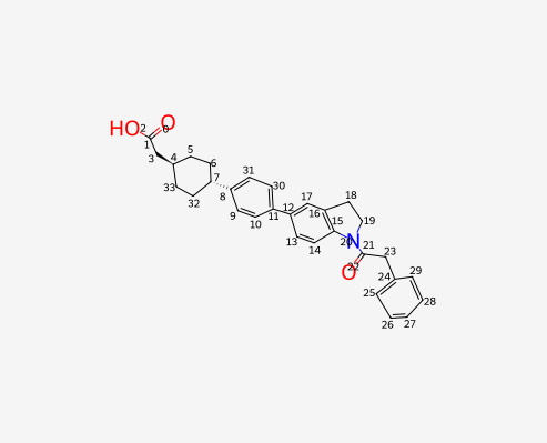 O=C(O)C[C@H]1CC[C@H](c2ccc(-c3ccc4c(c3)CCN4C(=O)Cc3ccccc3)cc2)CC1